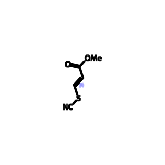 COC(=O)/C=C/SC#N